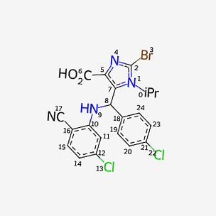 CC(C)n1c(Br)nc(C(=O)O)c1C(Nc1cc(Cl)ccc1C#N)c1ccc(Cl)cc1